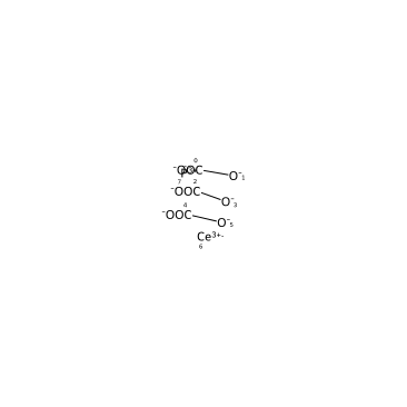 O=C([O-])[O-].O=C([O-])[O-].O=C([O-])[O-].[Ce+3].[P+3]